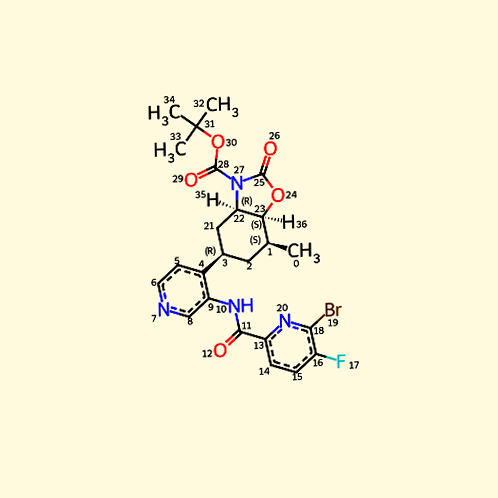 C[C@H]1C[C@@H](c2ccncc2NC(=O)c2ccc(F)c(Br)n2)C[C@@H]2[C@H]1OC(=O)N2C(=O)OC(C)(C)C